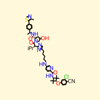 Cc1ncsc1-c1ccc(C(C)NC(=O)[C@@H]2C[C@@H](O)CN2C(=O)C(c2ncc(CCCCCNc3ccc(C(=O)N[C@H]4C(C)(C)[C@H](Oc5ccc(C#N)c(Cl)c5)C4(C)C)nc3)n2C)C(C)C)cc1